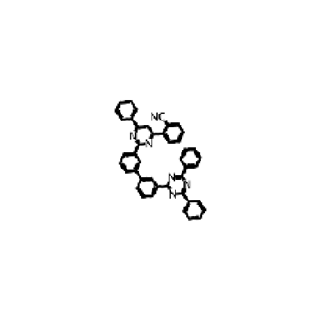 N#Cc1ccccc1-c1cc(-c2ccccc2)nc(-c2cccc(-c3cccc(-c4nc(-c5ccccc5)nc(-c5ccccc5)n4)c3)c2)n1